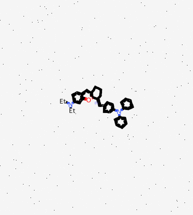 CCN(CC)c1ccc2cc3c([o+]c2c1)/C(=C/c1ccc(N(c2ccccc2)c2ccccc2)cc1)CCC3